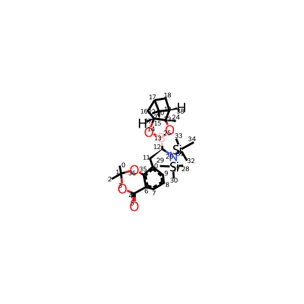 CC1(C)OC(=O)c2cccc(C[C@@H](B3O[C@@H]4CC5C[C@@H](C5(C)C)[C@]4(C)O3)N([Si](C)(C)C)[Si](C)(C)C)c2O1